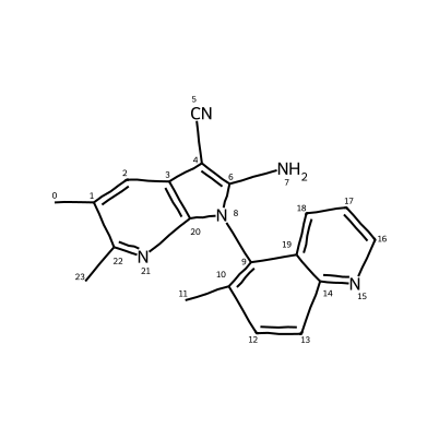 Cc1cc2c(C#N)c(N)n(-c3c(C)ccc4ncccc34)c2nc1C